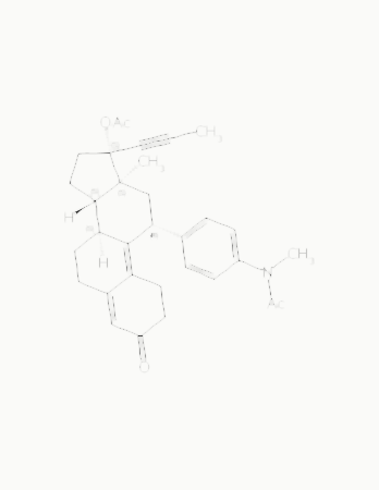 CC#C[C@]1(OC(C)=O)CC[C@H]2[C@@H]3CCC4=CC(=O)CCC4=C3[C@@H](c3ccc(N(C)C(C)=O)cc3)C[C@@]21C